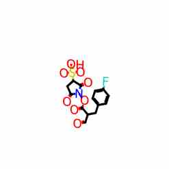 O=CC(Cc1ccc(F)cc1)C(=O)ON1C(=O)CC(S(=O)(=O)O)C1=O